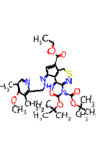 CCOC(=O)c1cc2nn(Cc3ncc(C)c(OC)c3C)nc3c-2c1CSN=C3N(C(=O)OC(C)(C)C)C(=O)OC(C)(C)C